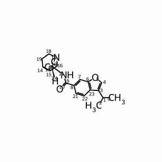 CC(C)c1coc2cc(C(=O)N[C@@H]3CC4CCN(CC4)C3)ccc12